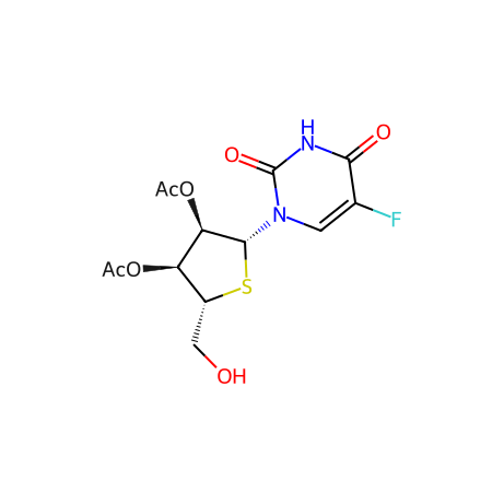 CC(=O)O[C@@H]1[C@H](OC(C)=O)[C@@H](CO)S[C@H]1n1cc(F)c(=O)[nH]c1=O